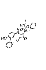 CCNS(=O)(=O)N(Cc1ccccc1)c1c(Nc2ccc(O)c(-c3ccccn3)c2)c(=O)c1=O